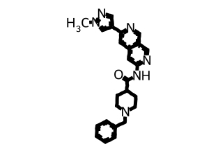 Cn1cc(-c2cc3cc(NC(=O)C4CCN(Cc5ccccc5)CC4)ncc3cn2)cn1